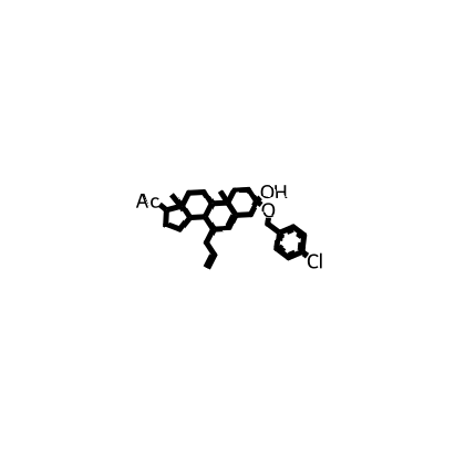 C=CCC1C=C2CC(O)(OCc3ccc(Cl)cc3)CCC2(C)C2CCC3(C)C(C(C)=O)CCC3C12